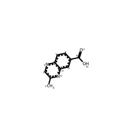 Cc1cnc2ccc(C(=O)O)cc2n1